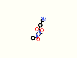 CC1CN(C(=O)c2ccccc2)CCN1C(=O)C(=O)c1ccc(-c2cnn(C)c2)cc1